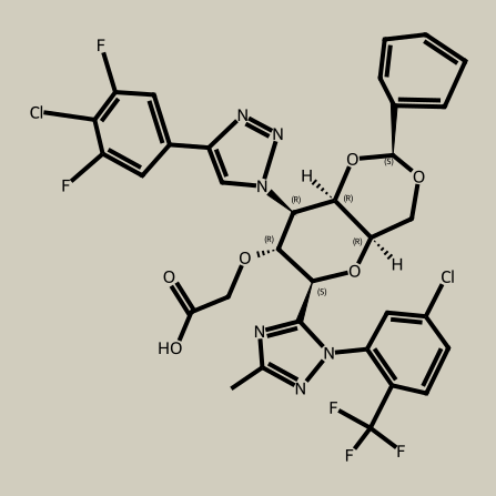 Cc1nc([C@@H]2O[C@@H]3CO[C@H](c4ccccc4)O[C@@H]3[C@H](n3cc(-c4cc(F)c(Cl)c(F)c4)nn3)[C@H]2OCC(=O)O)n(-c2cc(Cl)ccc2C(F)(F)F)n1